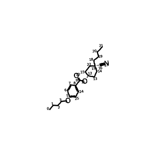 CCCCOc1ccc(C(=O)O[C@H]2CC[C@](C#N)(CCCC)CC2)cc1